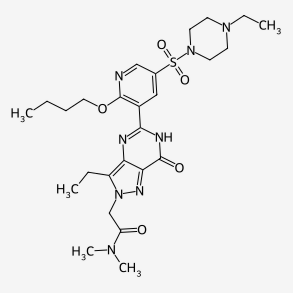 CCCCOc1ncc(S(=O)(=O)N2CCN(CC)CC2)cc1-c1nc2c(CC)n(CC(=O)N(C)C)nc2c(=O)[nH]1